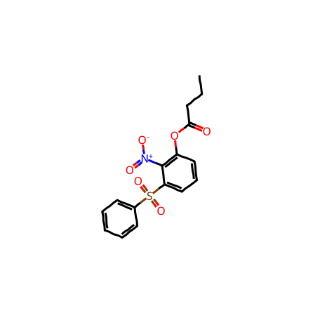 CCCC(=O)Oc1cccc(S(=O)(=O)c2ccccc2)c1[N+](=O)[O-]